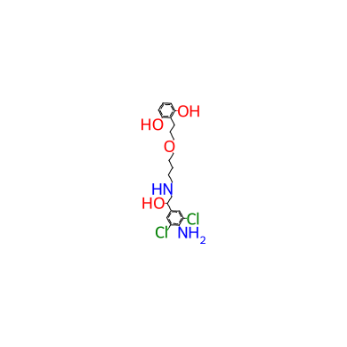 Nc1c(Cl)cc(C(O)CNCCCCCOCCCc2c(O)cccc2O)cc1Cl